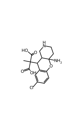 CC(C(=O)O)(C(=O)O)C1c2cc(Cl)ccc2OC2(N)CCNCC12